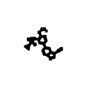 COc1ncc(-c2ccn3ncc(C#N)c3c2)cc1NS(=O)(=O)C1CC1